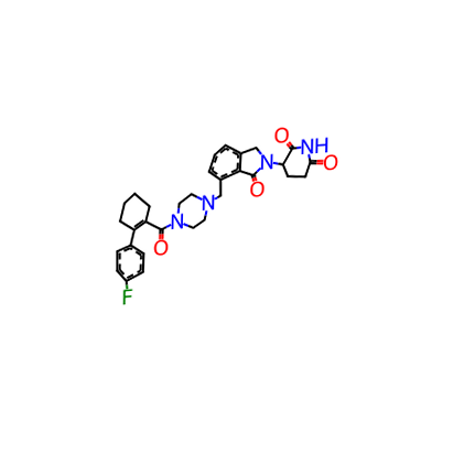 O=C1CCC(N2Cc3cccc(CN4CCN(C(=O)C5=C(c6ccc(F)cc6)CCCC5)CC4)c3C2=O)C(=O)N1